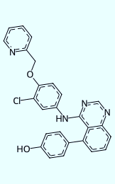 Oc1ccc(-c2cccc3ncnc(Nc4ccc(OCc5ccccn5)c(Cl)c4)c23)cc1